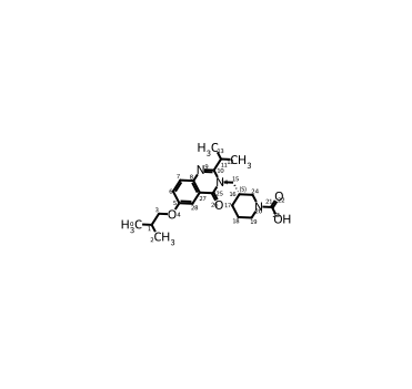 CC(C)COc1ccc2nc(C(C)C)n(C[C@H]3CCCN(C(=O)O)C3)c(=O)c2c1